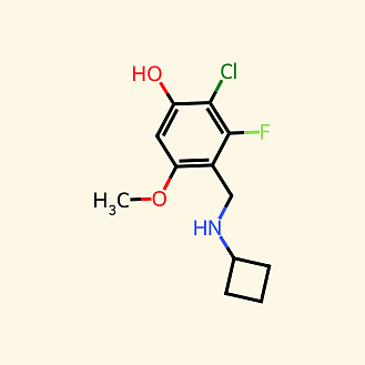 COc1cc(O)c(Cl)c(F)c1CNC1CCC1